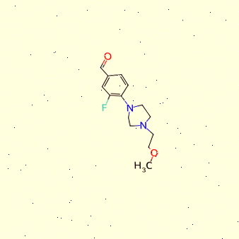 COCCN1CCN(c2ccc(C=O)cc2F)CC1